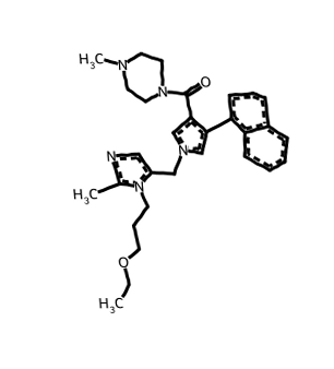 CCOCCCn1c(Cn2cc(C(=O)N3CCN(C)CC3)c(-c3cccc4ccccc34)c2)cnc1C